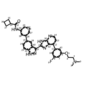 CN(C)CCOc1cc(F)cc(-c2ccnc3[nH]c(-c4n[nH]c5ccc(-c6cncc(NC(=O)C7CCC7)c6)cc45)nc23)c1